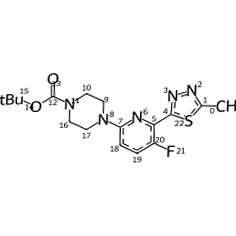 Cc1nnc(-c2nc(N3CCN(C(=O)OC(C)(C)C)CC3)ccc2F)s1